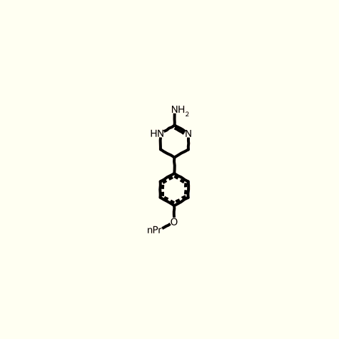 CCCOc1ccc(C2CN=C(N)NC2)cc1